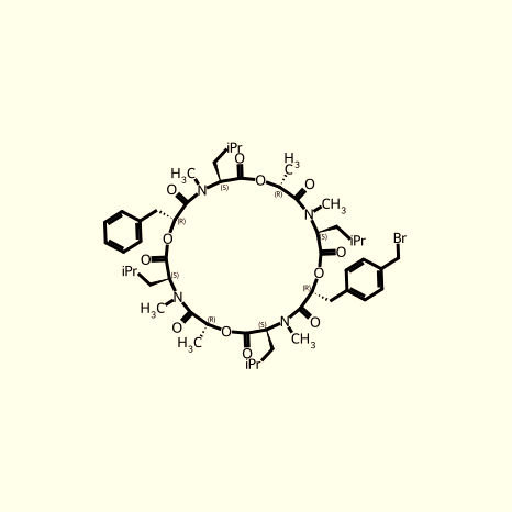 CC(C)C[C@H]1C(=O)O[C@H](Cc2ccc(CBr)cc2)C(=O)N(C)[C@@H](CC(C)C)C(=O)O[C@H](C)C(=O)N(C)[C@@H](CC(C)C)C(=O)O[C@H](Cc2ccccc2)C(=O)N(C)[C@@H](CC(C)C)C(=O)O[C@H](C)C(=O)N1C